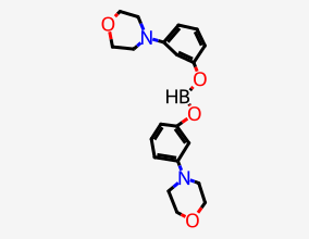 B(Oc1cccc(N2CCOCC2)c1)Oc1cccc(N2CCOCC2)c1